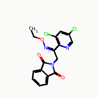 CCO/N=C(/CN1C(=O)c2ccccc2C1=O)c1ncc(Cl)cc1Cl